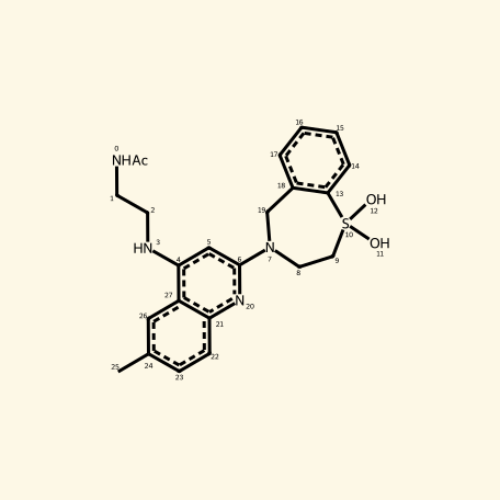 CC(=O)NCCNc1cc(N2CCS(O)(O)c3ccccc3C2)nc2ccc(C)cc12